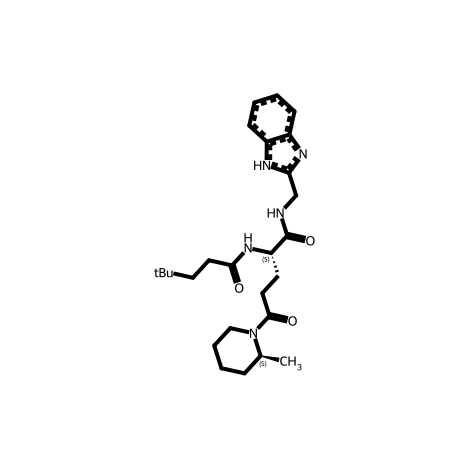 C[C@H]1CCCCN1C(=O)CC[C@H](NC(=O)CCC(C)(C)C)C(=O)NCc1nc2ccccc2[nH]1